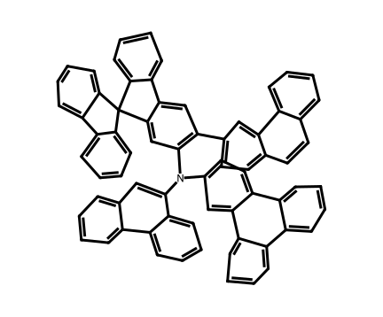 c1ccc2c(c1)-c1ccccc1C21c2ccccc2-c2cc(-c3ccc4ccc5ccccc5c4c3)c(N(c3ccc4c5ccccc5c5ccccc5c4c3)c3cc4ccccc4c4ccccc34)cc21